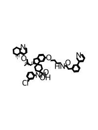 C[C@@H](COc1ccnc2c1[C@H](C)CCC2)C[C@H]1Cc2ccc(OCCCCNC(=O)Cc3cccc(-c4cccnc4)c3)cc2C12CCC(Nc1cccc(Cl)c1)(C(=O)O)CC2